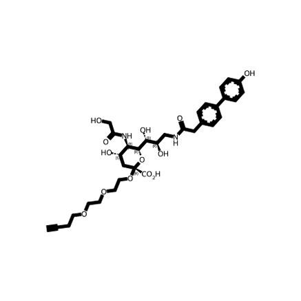 C#CCCOCCOCCO[C@]1(C(=O)O)C[C@H](O)[C@@H](NC(=O)CO)[C@H]([C@H](O)[C@H](O)CNC(=O)Cc2ccc(-c3ccc(O)cc3)cc2)O1